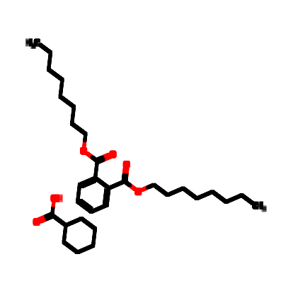 CCCCCCCCOC(=O)c1ccccc1C(=O)OCCCCCCCC.O=C(O)C1CCCCC1